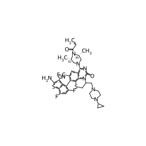 C=CC(=O)N1[C@H](C)CN(c2nc(=O)n3c4c(c(-c5c(F)cc(F)c6sc(N)c(C#N)c56)c(C(F)(F)F)cc24)SCC3CN2CCN(C3CC3)CC2)C[C@@H]1C